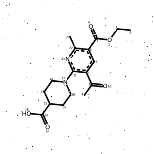 CCOC(=O)c1cc(C(C)=O)c(N2CCC(C(=O)O)CC2)nc1C